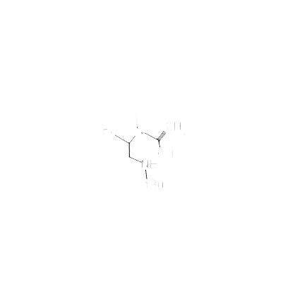 C=C(C)NC(CC)CNC(C)(C)C